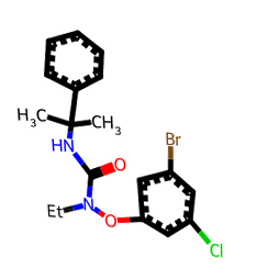 CCN(Oc1cc(Cl)cc(Br)c1)C(=O)NC(C)(C)c1ccccc1